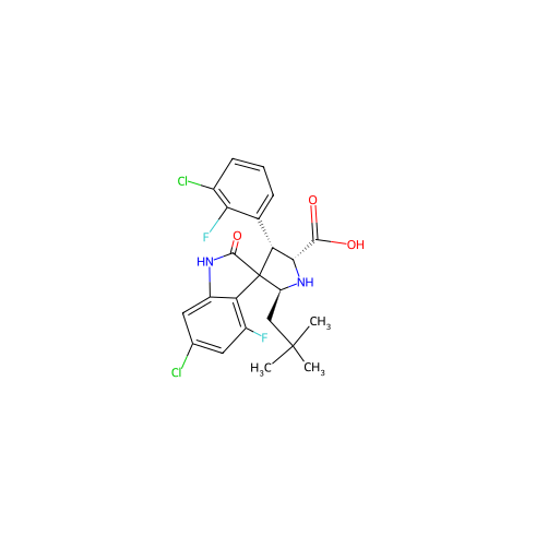 CC(C)(C)C[C@@H]1N[C@@H](C(=O)O)[C@@H](c2cccc(Cl)c2F)C12C(=O)Nc1cc(Cl)cc(F)c12